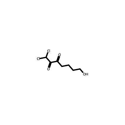 O=C(CCCCO)C(=O)C(Cl)Cl